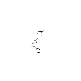 COc1cccc(-c2csc3nc(C(C)(C)N4CCC5(CCCC5)CC4)cn23)c1.Cl